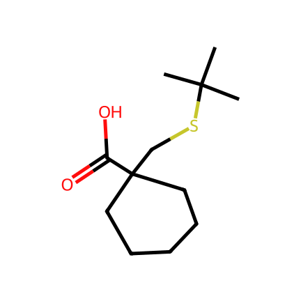 CC(C)(C)SCC1(C(=O)O)CCCCC1